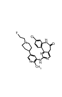 Cc1ncc(C2CCN(CCF)CC2)cc1Nc1ncc2c(n1)-c1ccc(Cl)cc1NC(=O)C2